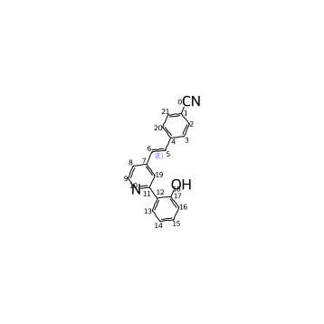 N#Cc1ccc(/C=C/c2ccnc(-c3ccccc3O)c2)cc1